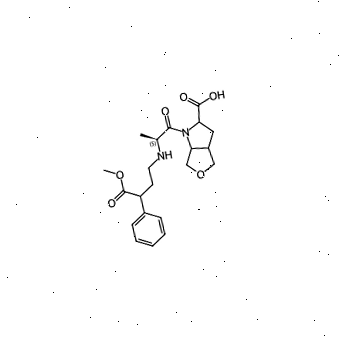 COC(=O)C(CCN[C@@H](C)C(=O)N1C(C(=O)O)CC2COCC21)c1ccccc1